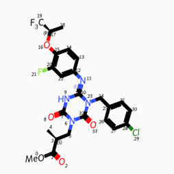 COC(=O)[C@@H](C)Cn1c(=O)[nH]/c(=N\c2ccc(O[C@H](C)C(F)(F)F)c(F)c2)n(Cc2ccc(Cl)cc2)c1=O